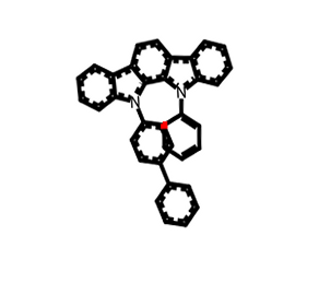 C1=CCCC(n2c3ccccc3c3ccc4c5ccccc5n(-c5ccc(-c6ccccc6)cc5)c4c32)=C1